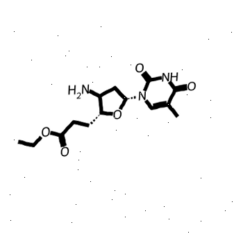 CCOC(=O)CC[C@H]1O[C@@H](n2cc(C)c(=O)[nH]c2=O)CC1N